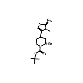 Br.CN=c1scc(C2CCN(C(=O)OC(C)(C)C)CC2)n1C